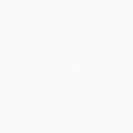 CN1CCc2cc(N(C(=O)c3cc(-c4cc(Cl)ccc4C(=O)N4Cc5ccccc5C[C@H]4CN4CCOCC4)n(C)c3)c3ccc(O)cc3)cnc21